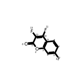 O=c1oc2cc(F)ccc2c(F)c1F